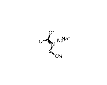 N#CSN=C([O-])[O-].[Na+].[Na+]